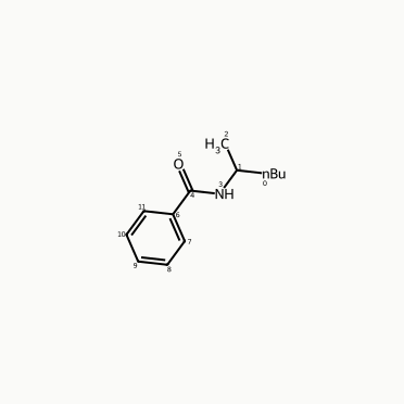 CCCCC(C)NC(=O)c1ccccc1